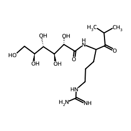 CC(C)C(=O)C(CCCNC(=N)N)NC(=O)[C@@H](O)[C@@H](O)[C@@H](O)[C@@H](O)CO